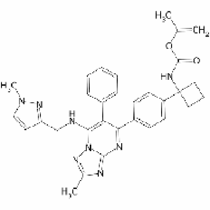 C=C(C)OC(=O)NC1(c2ccc(-c3nc4nc(C)nn4c(NCc4ccn(C)n4)c3-c3ccccc3)cc2)CCC1